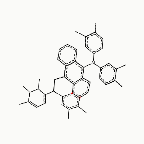 CC1=CC=C(C(Cc2c3ccccc3c(N(c3ccc(C)c(C)c3)c3ccc(C)c(C)c3)c3ccccc23)c2ccc(C)c(C)c2)C(C)C1C